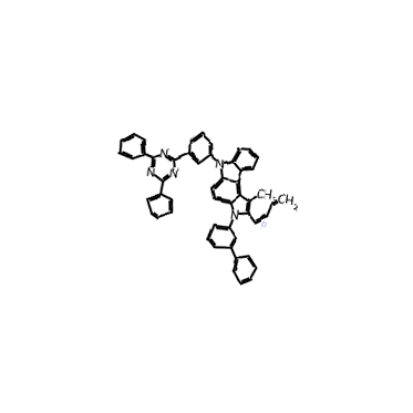 C=C/C=C\c1c(C)c2c3c4ccccc4n(-c4cccc(-c5nc(-c6ccccc6)nc(-c6ccccc6)n5)c4)c3ccc2n1-c1cccc(-c2ccccc2)c1